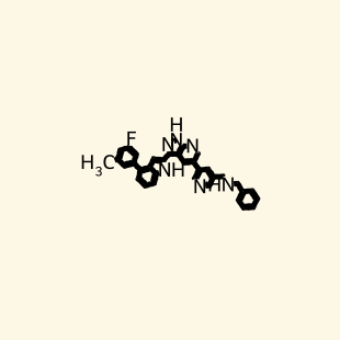 Cc1cc(F)cc(-c2cccc3[nH]c(-c4n[nH]c5ncc(-c6cncc(CNCc7ccccc7)c6)cc45)cc23)c1